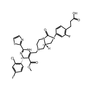 COC(=O)C1=C(CN2CCN3C(=O)N(c4ccc(CCC(=O)O)c(F)c4)C[C@@H]3C2)NC(c2nccs2)=N[C@H]1c1ccc(F)cc1Cl